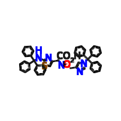 O=C(O)/C(=N\OCc1cn(C(c2ccccc2)(c2ccccc2)c2ccccc2)cn1)c1csc(NC(c2ccccc2)(c2ccccc2)c2ccccc2)n1